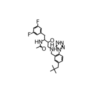 CC(=O)NC(Cc1cc(F)cc(F)c1)C(O)CNCc1cc(CC(C)(C)C)ccc1-n1cnnn1